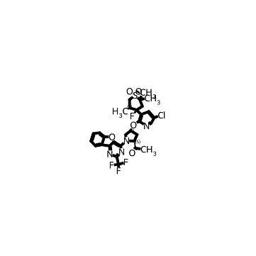 CC(=O)[C@@H]1C[C@H](Oc2ncc(Cl)cc2[C@@]2(F)CC(C)(C)S(=O)(=O)C[C@@H]2C)CN1c1nc(C(F)(F)F)nc2c1oc1ccccc12